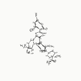 Cc1c(C(=O)N(CC(O)c2c(Cl)cc(F)cc2Cl)C2CCC(C)(C)CC2)cnn1[C@H]1CC[C@](C)(C(C)=O)CC1